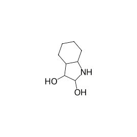 OC1NC2CCCCC2C1O